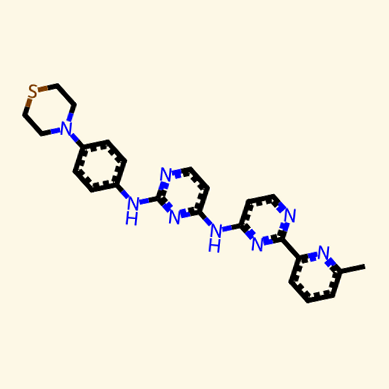 Cc1cccc(-c2nccc(Nc3ccnc(Nc4ccc(N5CCSCC5)cc4)n3)n2)n1